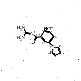 Cl.NC(N)=NC(=O)c1cccc(-n2cccn2)c1